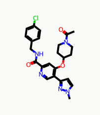 CC(=O)N1CCC(Oc2cc(C(=O)NCc3ccc(Cl)cc3)ncc2-c2ccn(C)n2)CC1